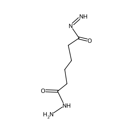 N=NC(=O)CCCCC(=O)NN